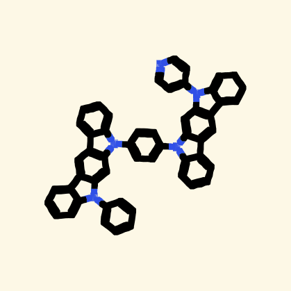 C1=c2c(n(-c3ccncc3)c3cc4c(cc23)c2ccccc2n4-c2ccc(-n3c4ccccc4c4cc5c6ccccc6n(-c6ccccc6)c5cc43)cc2)=CCC1